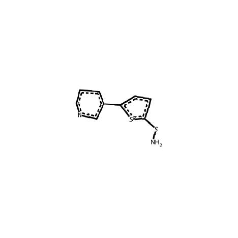 NSc1ccc(-c2cccnc2)s1